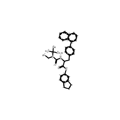 CC(C)CN(C(=O)NC(Cc1ccc(-c2cccc3ccccc23)cc1)C(=O)Oc1ccc2c(c1)CCC2)C(C)(O)C(=O)O